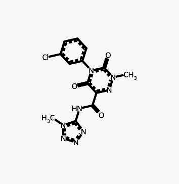 Cn1nnnc1NC(=O)c1nn(C)c(=O)n(-c2cccc(Cl)c2)c1=O